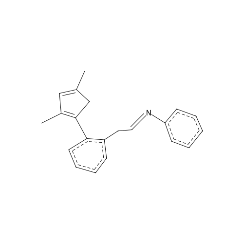 CC1=CC(C)=C(c2ccccc2CC=Nc2ccccc2)C1